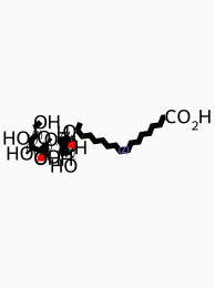 CC(CCCCCC/C=C\CCCCCCCC(=O)O)O[C@@H]1O[C@H](CO)[C@H]2OC(=O)[C@@]3(O[C@@H]1[C@H]2O)O[C@H](CO)[C@@H](O)[C@H](O)[C@H]3O